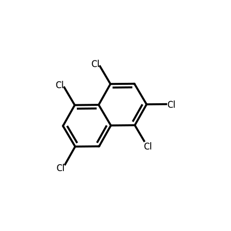 Clc1cc(Cl)c2c(Cl)cc(Cl)c(Cl)c2c1